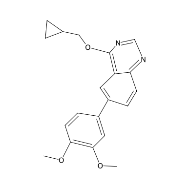 COc1ccc(-c2ccc3ncnc(OCC4CC4)c3c2)cc1OC